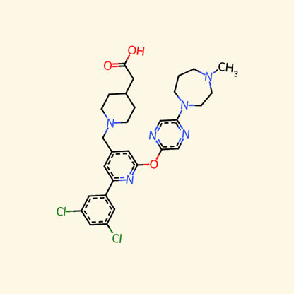 CN1CCCN(c2cnc(Oc3cc(CN4CCC(CC(=O)O)CC4)cc(-c4cc(Cl)cc(Cl)c4)n3)cn2)CC1